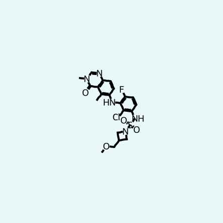 COCC1CN(S(=O)(=O)Nc2ccc(F)c(Nc3ccc4ncn(C)c(=O)c4c3C)c2Cl)C1